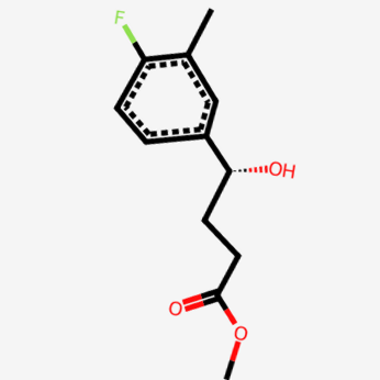 COC(=O)CC[C@@H](O)c1ccc(F)c(C)c1